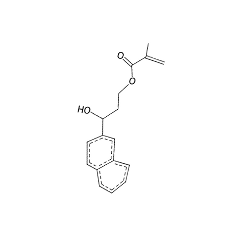 C=C(C)C(=O)OCCC(O)c1ccc2ccccc2c1